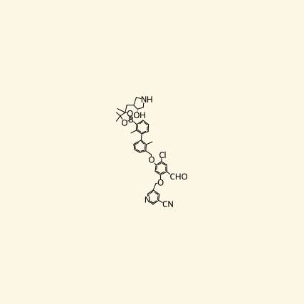 Cc1c(COc2cc(OCc3cncc(C#N)c3)c(C=O)cc2Cl)cccc1-c1cccc(B2OC(C)(C)C(C)(CC3CNC[C@@H]3O)O2)c1C